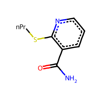 CCCSc1ncccc1C(N)=O